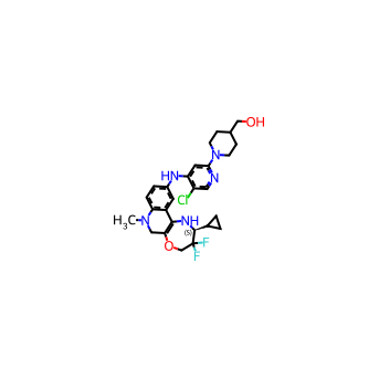 CN1CC2=C(N[C@@H](C3CC3)C(F)(F)CO2)c2cc(Nc3cc(N4CCC(CO)CC4)ncc3Cl)ccc21